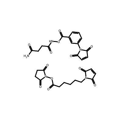 NC(=O)CCC(=O)NOC(=O)c1cccc(N2C(=O)C=CC2=O)c1.O=C(CCCCCN1C(=O)C=CC1=O)ON1C(=O)CCC1=O